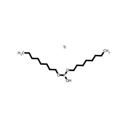 CCCCCCCCOP(O)OCCCCCCCC.[Ti]